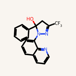 OC1(c2ccccc2)CC(C(F)(F)F)=NN1c1cccc2cccnc12